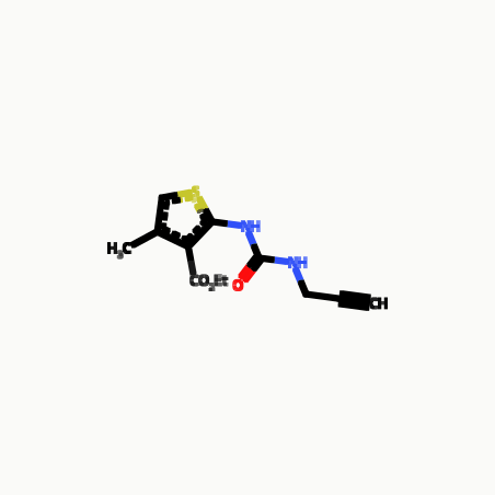 C#CCNC(=O)Nc1scc(C)c1C(=O)OCC